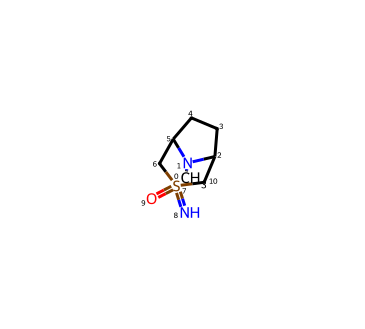 CN1C2CCC1CS(=N)(=O)C2